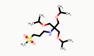 CC(C)OCC(COC(C)C)(COC(C)C)NCCCS(C)(=O)=O